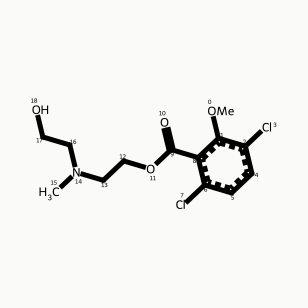 COc1c(Cl)ccc(Cl)c1C(=O)OCCN(C)CCO